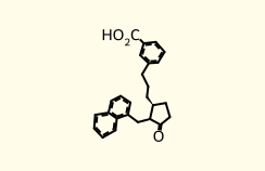 O=C(O)c1cccc(CCC[C@H]2CCC(=O)C2Cc2cccc3ccccc23)c1